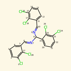 Clc1cccc(C=NC(N=Cc2cccc(Cl)c2Cl)c2cccc(Cl)c2Cl)c1Cl